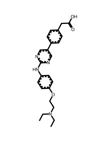 CCN(CC)CCOc1ccc(Nc2ncc(-c3ccc(CC(=O)O)cc3)cn2)cc1